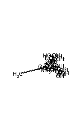 CCCCCCCCCCCCC/C=C/[C@@H](O)[C@@H](N)CO[C@@H]1OC(CO)[C@@H](O[C@@H]2OC(CO)[C@H](O[C@@H]3OC(CO)[C@H](O)[C@H](O[C@@H]4OC(CO)[C@H](O)[C@H](O)C4O)C3N)[C@H](O[C@]3(OC=O)C[C@@H](O)[C@@H](N)C([C@H](O)[C@H](O)CO)O3)C2O)[C@H](O)C1O